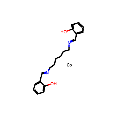 Oc1ccccc1C=NCCCCCCN=Cc1ccccc1O.[Co]